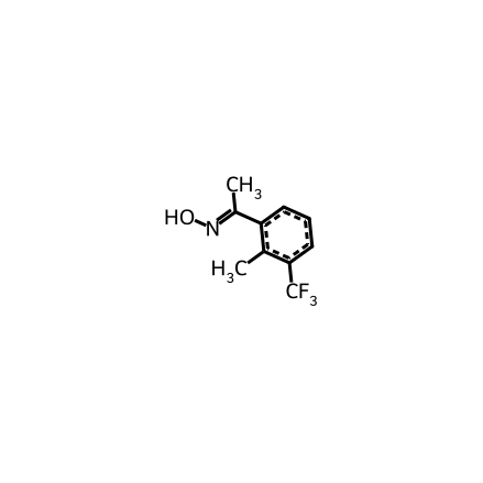 CC(=NO)c1cccc(C(F)(F)F)c1C